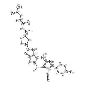 CCc1nc2sc(N3CCC(N(C)CC(=O)NCC(=O)O)C3)nn2c1N(C)c1nc(-c2ccc(F)cc2)c(C#N)s1